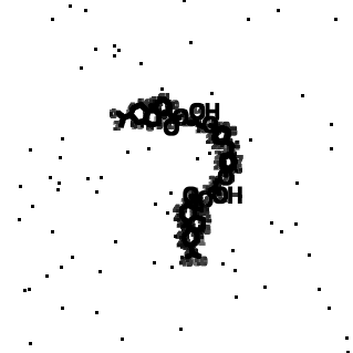 CC(C)C1CCC2C(CCC3C(C(=O)OCC(O)COc4ccc(Cc5ccc(OCC(O)COC(=O)C6(C)CCCC7(C)C8CCC(C(C)C)CC8CCC67)cc5)cc4)=CCCC32C)C1